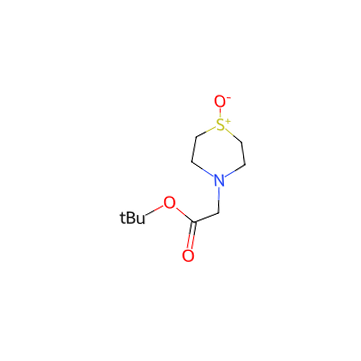 CC(C)(C)OC(=O)CN1CC[S+]([O-])CC1